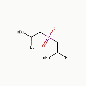 CCCCC(CC)CP([O])(=O)CC(CC)CCCC